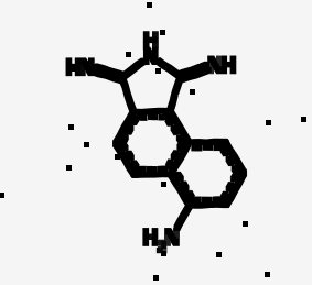 N=C1NC(=N)c2c1ccc1c(N)cccc21